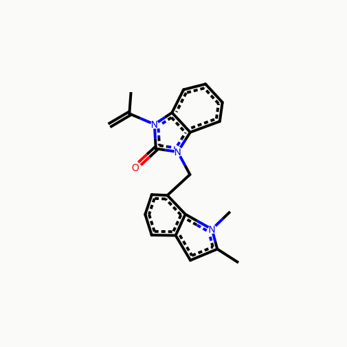 C=C(C)n1c(=O)n(Cc2cccc3cc(C)n(C)c23)c2ccccc21